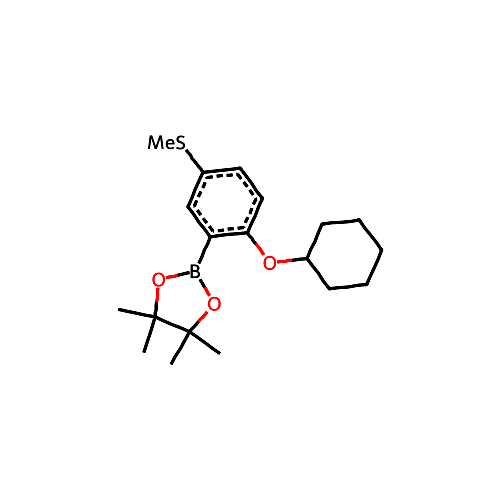 CSc1ccc(OC2CCCCC2)c(B2OC(C)(C)C(C)(C)O2)c1